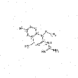 CCc1cc(Br)ccc1N(CC)C(=O)NC(=N)N